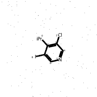 CC(C)c1c(Cl)cncc1I